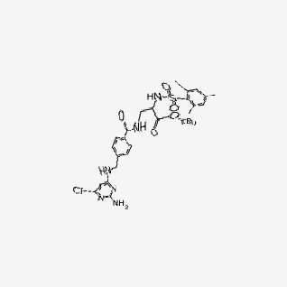 Cc1cc(C)c(S(=O)(=O)NC(CNC(=O)c2ccc(CNc3cc(Cl)nc(N)n3)cc2)C(=O)OC(C)(C)C)c(C)c1